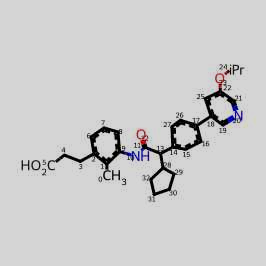 Cc1c(CCC(=O)O)cccc1NC(=O)C(c1ccc(-c2cncc(OC(C)C)c2)cc1)C1CCCC1